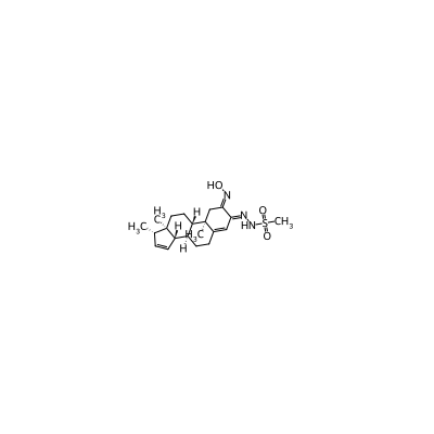 C[C@H]1C=C[C@H]2[C@@H]3CCC4=CC(=NNS(C)(=O)=O)C(=NO)C[C@]4(C)[C@H]3CC[C@]12C